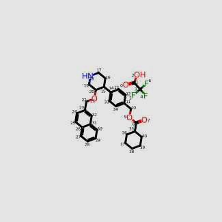 O=C(O)C(F)(F)F.O=C(OCc1ccc(C2CCNCC2OCc2ccc3ccccc3c2)cc1)C1CCCCC1